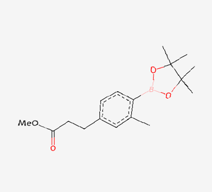 COC(=O)CCc1ccc(B2OC(C)(C)C(C)(C)O2)c(C)c1